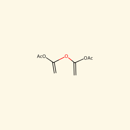 C=C(OC(=C)OC(C)=O)OC(C)=O